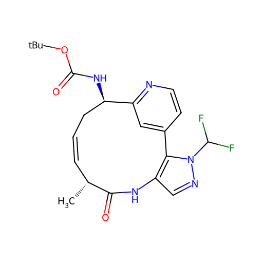 C[C@@H]1C=CC[C@@H](NC(=O)OC(C)(C)C)c2cc(ccn2)-c2c(cnn2C(F)F)NC1=O